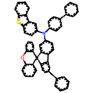 c1ccc(-c2ccc(N(c3ccc4c(c3)C3(c5ccccc5Oc5ccccc53)c3ccc(-c5ccccc5)cc3-4)c3ccc4sc5ccccc5c4c3)cc2)cc1